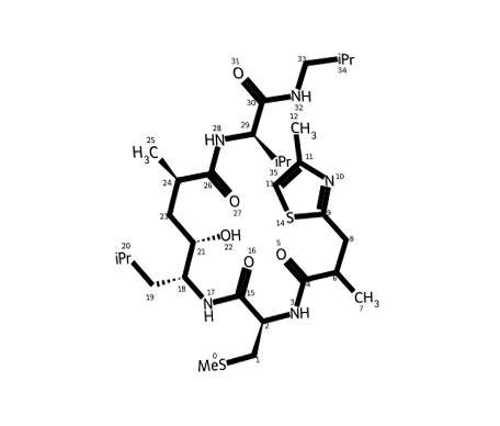 CSC[C@H](NC(=O)C(C)Cc1nc(C)cs1)C(=O)N[C@H](CC(C)C)[C@@H](O)C[C@@H](C)C(=O)N[C@@H](C(=O)NCC(C)C)C(C)C